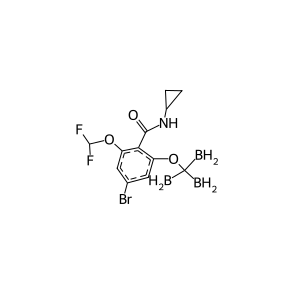 BC(B)(B)Oc1cc(Br)cc(OC(F)F)c1C(=O)NC1CC1